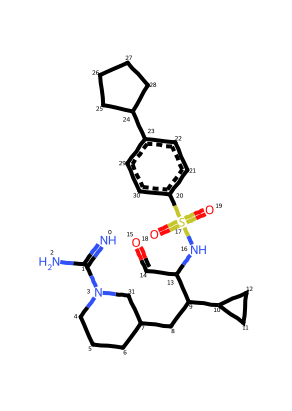 N=C(N)N1CCCC(CC(C2CC2)C(C=O)NS(=O)(=O)c2ccc(C3CCCC3)cc2)C1